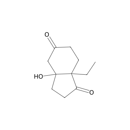 CCC12CCC(=O)CC1(O)CCC2=O